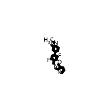 Cn1cc2cc(-c3cc(F)c(CN4Cc5ncccc5C4=O)cc3F)ccc2n1